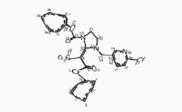 O=C(Oc1ccccc1)/C(=C1\N(Cc2ccc(Cl)nc2)CCN1C(=O)Oc1ccccc1)[N+](=O)[O-]